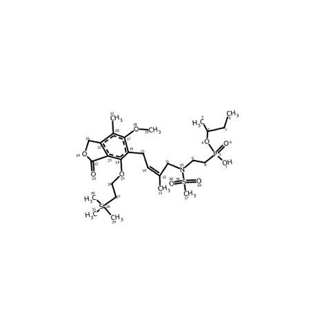 CCC(C)OP(=O)(O)CCN(CC(C)=CCc1c(OC)c(C)c2c(c1OCC[Si](C)(C)C)C(=O)OC2)S(C)(=O)=O